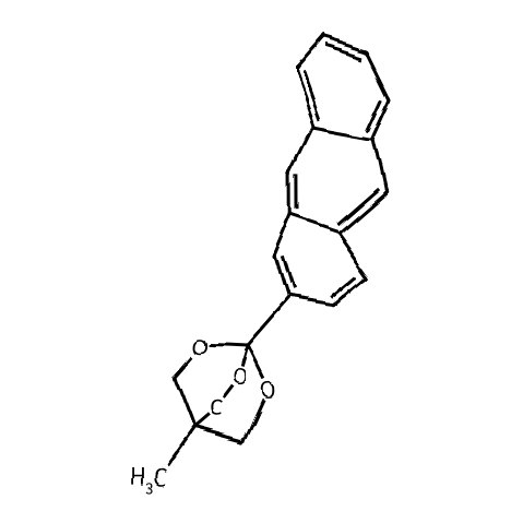 CC12COC(c3ccc4cc5ccccc5cc4c3)(OC1)OC2